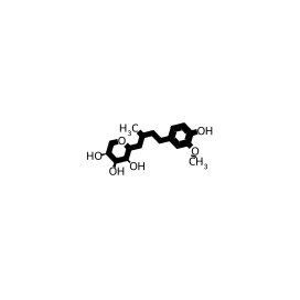 COc1cc(CCC(C)CC2OC[C@@H](O)[C@H](O)[C@H]2O)ccc1O